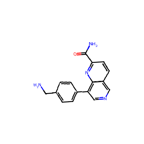 NCc1ccc(-c2cncc3ccc(C(N)=O)nc23)cc1